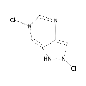 ClN1C=NC2=CN(Cl)NC2=C1